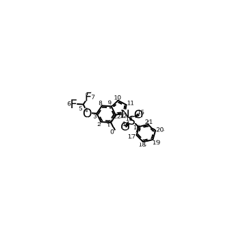 Cc1cc(OC(F)F)cc2ccn(S(=O)(=O)c3ccccc3)c12